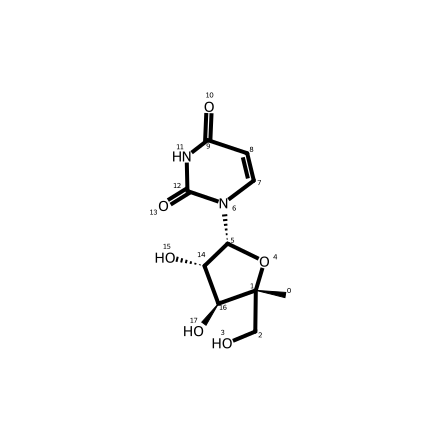 C[C@]1(CO)O[C@@H](n2ccc(=O)[nH]c2=O)[C@@H](O)[C@@H]1O